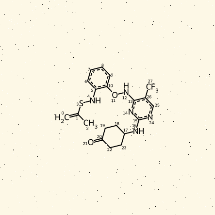 C=C(C)SNc1ccccc1ONc1nc(NC2CCC(=O)CC2)ncc1C(F)(F)F